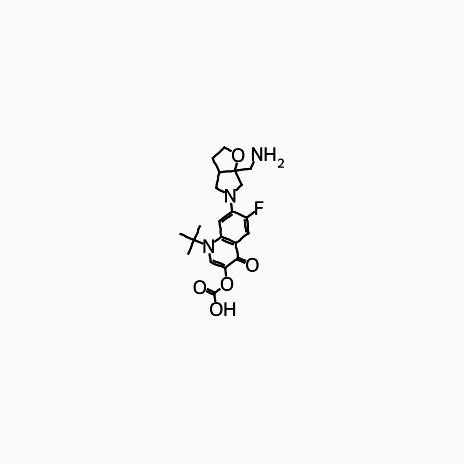 CC(C)(C)n1cc(OC(=O)O)c(=O)c2cc(F)c(N3CC4CCOC4(CN)C3)cc21